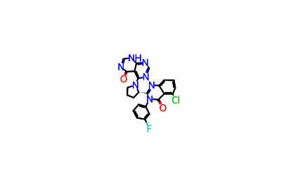 O=c1nc[nH]c2ncnc(N3CCC[C@H]3c3nc4cccc(Cl)c4c(=O)n3-c3cccc(F)c3)c12